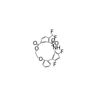 O=C1OCCOc2ccccc2-c2cc(c(F)cc2F)NS(=O)(=O)c2cc1ccc2C(F)F